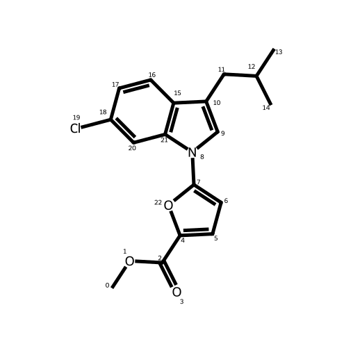 COC(=O)c1ccc(-n2cc(CC(C)C)c3ccc(Cl)cc32)o1